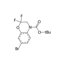 CC(C)(C)OC(=O)N1CC(F)(F)Oc2cc(Br)ccc21